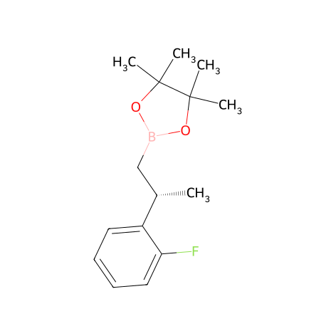 C[C@@H](CB1OC(C)(C)C(C)(C)O1)c1ccccc1F